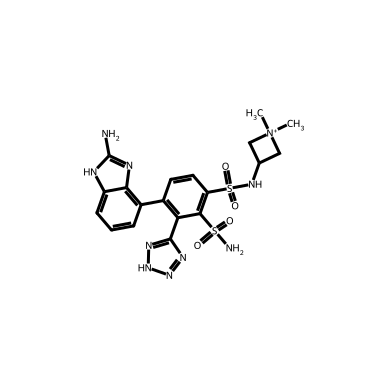 C[N+]1(C)CC(NS(=O)(=O)c2ccc(-c3cccc4[nH]c(N)nc34)c(-c3nn[nH]n3)c2S(N)(=O)=O)C1